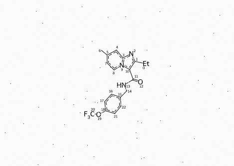 CCc1nc2cc(C)ccn2c1C(=O)NCc1ccc(OC(F)(F)F)cc1